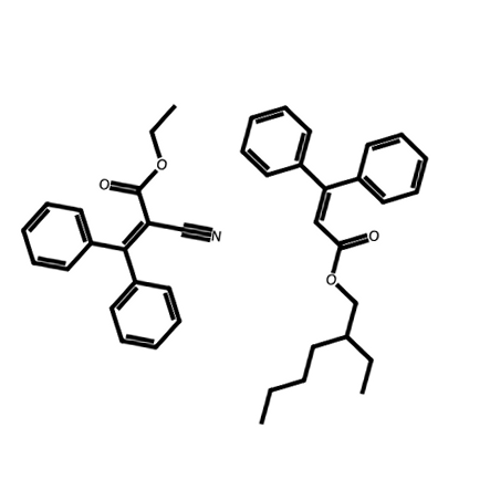 CCCCC(CC)COC(=O)C=C(c1ccccc1)c1ccccc1.CCOC(=O)C(C#N)=C(c1ccccc1)c1ccccc1